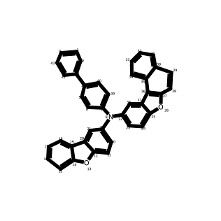 c1ccc(-c2ccc(N(c3ccc4oc5ccccc5c4c3)c3ccc4oc5ccc6ccccc6c5c4c3)cc2)cc1